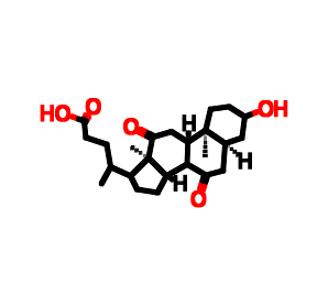 CC(CCC(=O)O)C1CC[C@H]2C3C(=O)C[C@@H]4CC(O)CC[C@]4(C)[C@H]3CC(=O)[C@]12C